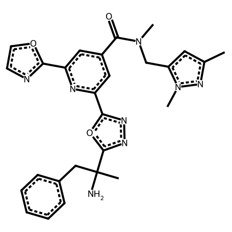 Cc1cc(CN(C)C(=O)c2cc(-c3ncco3)nc(-c3nnc(C(C)(N)Cc4ccccc4)o3)c2)n(C)n1